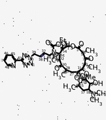 CC[C@H]1OC(=O)[C@H](C)C(=O)[C@H](C)[C@@H](O[C@@H]2O[C@H](C)CC(N(C)C)C2O)[C@](C)(OC)C[C@@H](C)C(=O)[C@H](C)[C@H]2N(C/C=C/Cn3nnc(-c4ccccn4)n3)C(=O)O[C@]12C